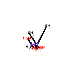 CCCCCCCCCCCCCCCCCCN(C(=O)CCCCCCCCCCC)[C@@H]1O[C@H](CO)[C@@H](O)[C@H](O)[C@@H]1NC(=O)[C@H](C)NCCCCCC(=O)O